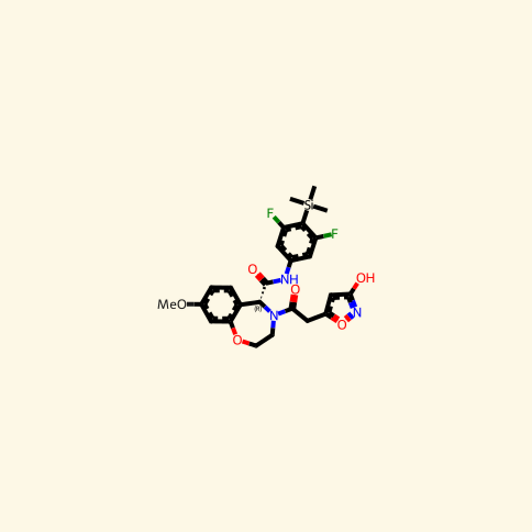 COc1ccc2c(c1)OCCN(C(=O)Cc1cc(O)no1)[C@H]2C(=O)Nc1cc(F)c([Si](C)(C)C)c(F)c1